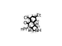 CCCN1C(=O)c2c(Cl)cc(CC)cc2[C@H]2CNC[C@@H]21